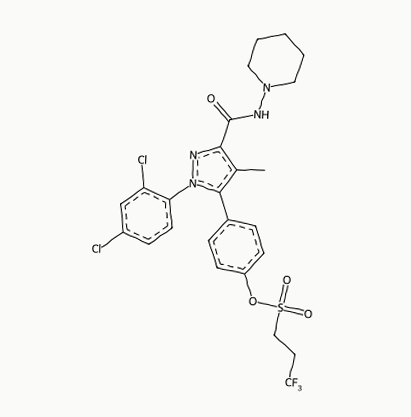 Cc1c(C(=O)NN2CCCCC2)nn(-c2ccc(Cl)cc2Cl)c1-c1ccc(OS(=O)(=O)CCC(F)(F)F)cc1